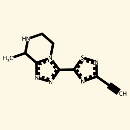 C#Cc1nsc(-c2nnc3n2CCNC3C)n1